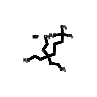 CCO[Si](CCC[P+](C)(C)C)(OCC)OCC.[OH-]